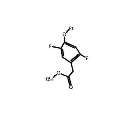 CCOc1cc(F)c(CC(=O)OC(C)(C)C)cc1F